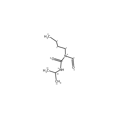 CCCCN([C]=O)C(=O)NC(C)C